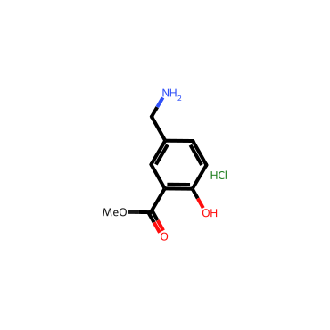 COC(=O)c1cc(CN)ccc1O.Cl